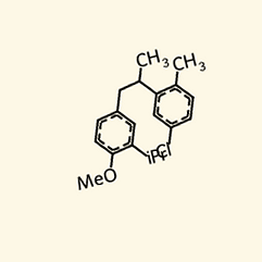 COc1ccc(CC(C)c2cc(Cl)ccc2C)cc1C(C)C